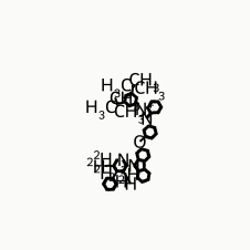 [2H]C([2H])([2H])c1cnc(-n2c3ccccc3c3ccc(Oc4cccc(-n5c[n+](-c6cc(C(C)(C)C)cc(C(C)(C)C)c6)c6ccccc65)c4)cc32)c(C([2H])([2H])[2H])c1-c1ccccc1